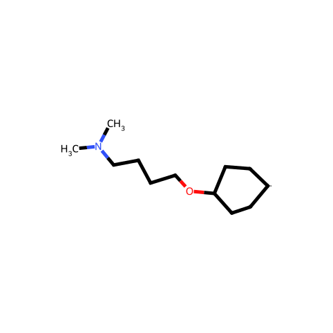 CN(C)CCCCOC1CC[CH]CC1